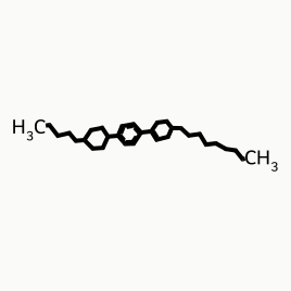 CCCCCCCCCC1CC=C(c2ccc(C3CCC(CCCCC)CC3)cc2)CC1